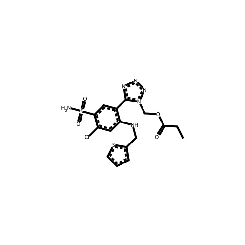 CCC(=O)OCn1nnnc1-c1cc(S(N)(=O)=O)c(Cl)cc1NCc1cccs1